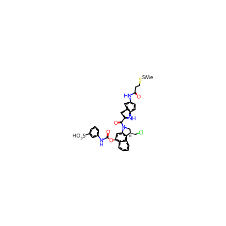 CSSCCC(=O)Nc1ccc2[nH]c(C(=O)N3C[C@@H](CCl)c4c3cc(OC(=O)Nc3cccc(S(=O)(=O)O)c3)c3ccccc43)cc2c1